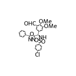 COc1cc(C(NS(=O)(=O)c2ccc(Cl)cc2)c2nnc(-c3ccccc3)o2)cc(C=O)c1OC